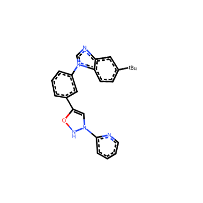 CC(C)(C)c1ccc2c(c1)ncn2-c1cccc(C2=CN(c3ccccn3)NO2)c1